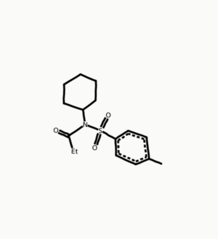 CCC(=O)N(C1CCCCC1)S(=O)(=O)c1ccc(C)cc1